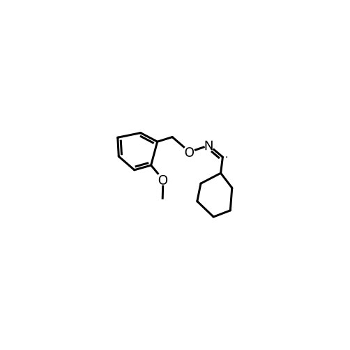 COc1ccccc1CO/N=[C]\C1CCCCC1